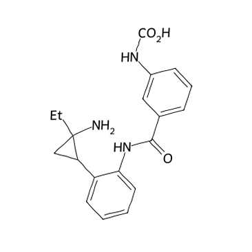 CCC1(N)CC1c1ccccc1NC(=O)c1cccc(NC(=O)O)c1